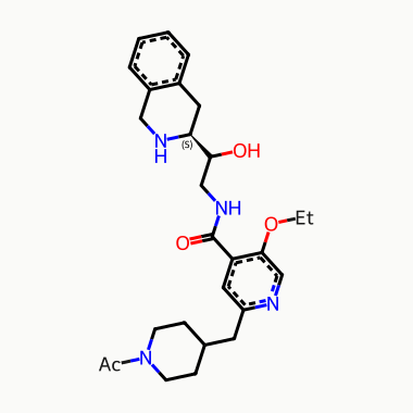 CCOc1cnc(CC2CCN(C(C)=O)CC2)cc1C(=O)NCC(O)[C@@H]1Cc2ccccc2CN1